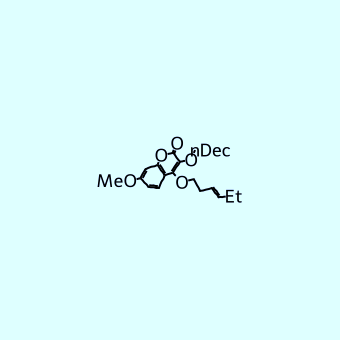 CCC=CCCOc1c(OCCCCCCCCCC)c(=O)oc2cc(OC)ccc12